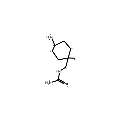 CC1(CNC(=N)N)CCC(N)CC1